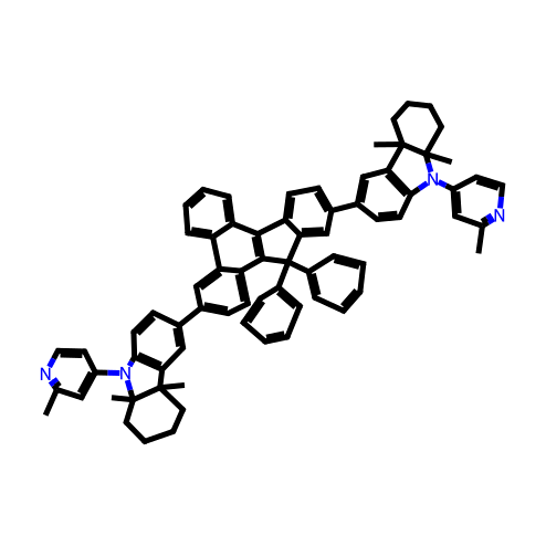 Cc1cc(N2c3ccc(-c4ccc5c(c4)C(c4ccccc4)(c4ccccc4)c4c-5c5ccccc5c5cc(-c6ccc7c(c6)C6(C)CCCCC6(C)N7c6ccnc(C)c6)ccc45)cc3C3(C)CCCCC23C)ccn1